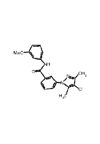 COc1cccc(NC(=O)c2cccc(-n3nc(C)c(Cl)c3C)c2)c1